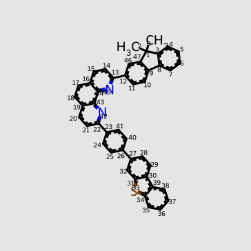 CC1(C)c2ccccc2-c2ccc(-c3ccc4ccc5ccc(-c6ccc(-c7ccc8c(c7)sc7ccccc78)cc6)nc5c4n3)cc21